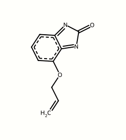 C=CCOc1cccc2c1=NC(=O)N=2